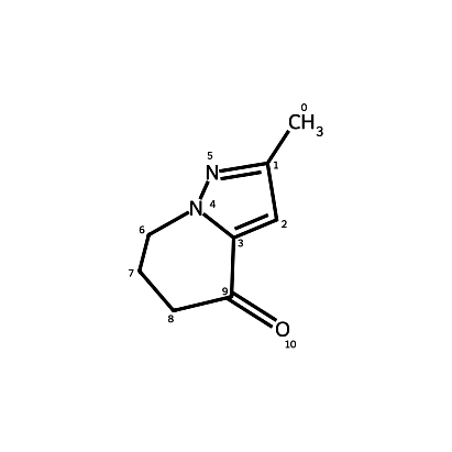 Cc1cc2n(n1)CCCC2=O